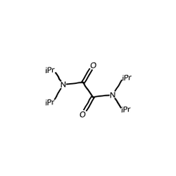 CC(C)N(C(=O)C(=O)N(C(C)C)C(C)C)C(C)C